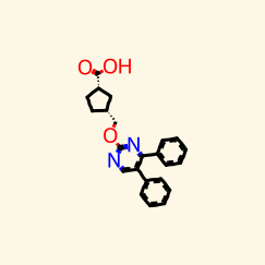 O=C(O)[C@H]1CC[C@@H](COc2ncc(-c3ccccc3)c(-c3ccccc3)n2)C1